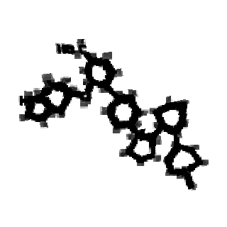 CN1CC=C(c2ccccc2C2CCCN2c2ccc(-c3ccc(C(=O)O)cc3Oc3cnc4[nH]ccc4c3)cc2)CC1